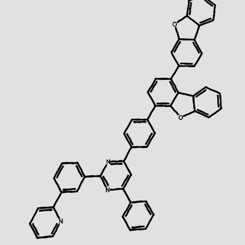 c1ccc(-c2cc(-c3ccc(-c4ccc(-c5ccc6c(c5)oc5ccccc56)c5c4oc4ccccc45)cc3)nc(-c3cccc(-c4ccccn4)c3)n2)cc1